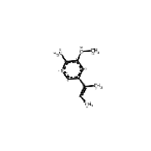 C/C=C(\C)c1cnc(C)c(OC)c1